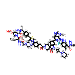 Cc1cc(F)c(Nc2nc(-c3ccc4c(c3)N([C@H]3C[C@@H](N5CCCCC5)C3)C(=O)C43CCN(C(=O)Cc4ccc(N5CCN(CC(=O)N[C@H](C(=O)N6C[C@H](O)C[C@H]6C(=O)N[C@@H](C)c6ccc(-c7scnc7C)cc6)C(C)(C)C)CC5)cc4)CC3)cc3ncn(C(C)C)c23)cc1C(=O)NC(C)C